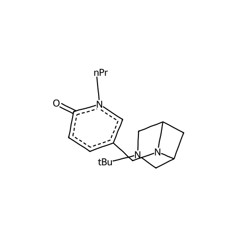 CCCn1cc(CN2C3CC2CN(C(C)(C)C)C3)ccc1=O